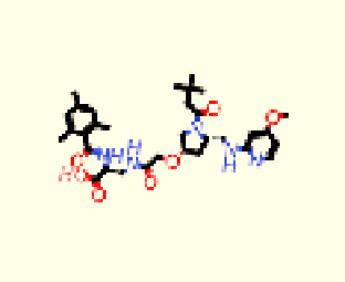 COc1ccnc(NC[C@@H]2C[C@@H](OCC(=O)NC[C@H](NC(=O)c3c(C)cc(C)cc3C)C(=O)O)CN2C(=O)CC(C)(C)C)c1